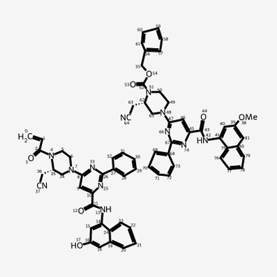 C=CC(=O)N1CCN(c2cc(C(=O)Nc3cc(O)cc4ccccc34)nc(-c3ccccc3)n2)C[C@@H]1CC#N.COc1cc(NC(=O)c2cc(N3CCN(C(=O)OCc4ccccc4)[C@@H](CC#N)C3)nc(-c3ccccc3)n2)c2ccccc2c1